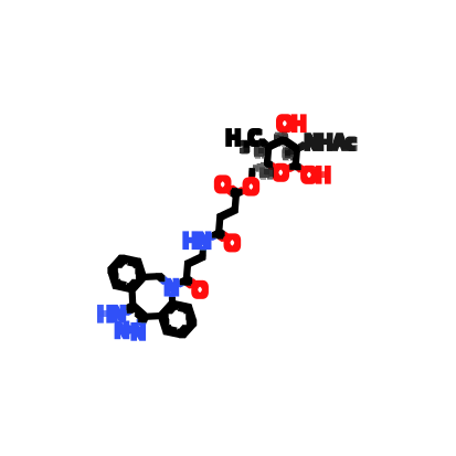 CC(=O)N[C@H]1C(O)O[C@H](COC(=O)CCC(=O)NCCC(=O)N2Cc3ccccc3-c3[nH]nnc3-c3ccccc32)[C@@H](C)[C@@H]1O